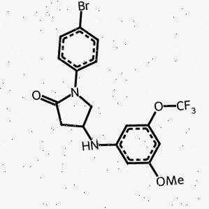 COc1cc(NC2CC(=O)N(c3ccc(Br)cc3)C2)cc(OC(F)(F)F)c1